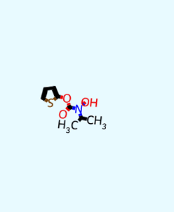 CC(C)N(O)C(=O)Oc1cccs1